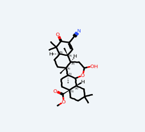 COC(=O)[C@]12CCC(C)(C)C[C@H]1C1OC(O)C[C@@H]3[C@@]4(C)C=C(C#N)C(=O)C(C)(C)[C@@H]4CC[C@@]3(C)[C@]1(C)CC2